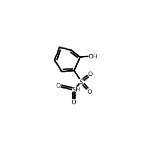 O=[SH](=O)S(=O)(=O)c1ccccc1O